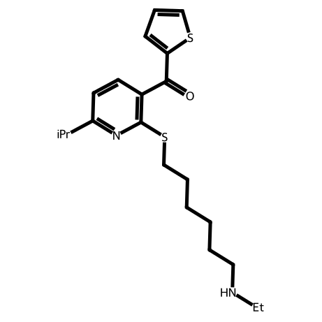 CCNCCCCCCSc1nc(C(C)C)ccc1C(=O)c1cccs1